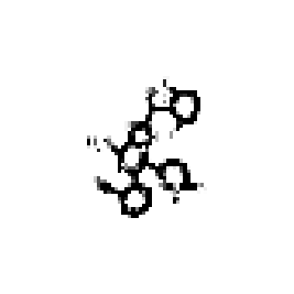 Cn1nc(-c2c(-c3ccccc3C#N)nc(N)c3nc(C(N)c4c(F)cccc4F)nn23)ccc1=O